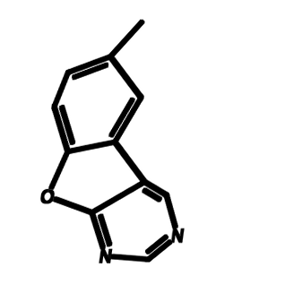 Cc1ccc2oc3ncncc3c2c1